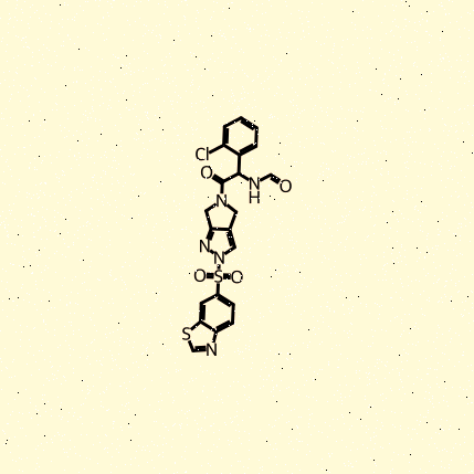 O=CNC(C(=O)N1Cc2cn(S(=O)(=O)c3ccc4ncsc4c3)nc2C1)c1ccccc1Cl